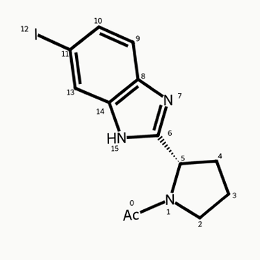 CC(=O)N1CCC[C@H]1c1nc2ccc(I)cc2[nH]1